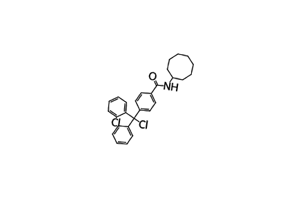 O=C(NC1CCCCCCC1)c1ccc(C(Cl)(c2ccccc2)c2ccccc2Cl)cc1